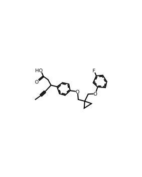 CC#CC(CC(=O)O)c1ccc(OCC2(COc3cccc(F)c3)CC2)cc1